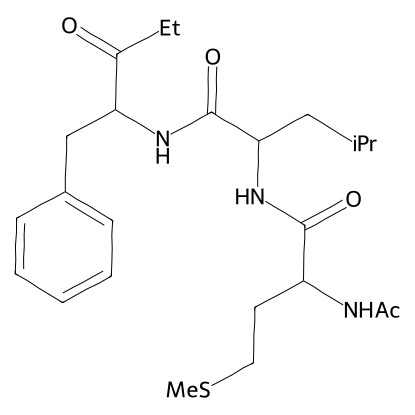 CCC(=O)C(Cc1ccccc1)NC(=O)C(CC(C)C)NC(=O)C(CCSC)NC(C)=O